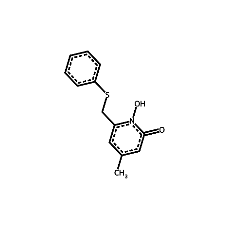 Cc1cc(CSc2ccccc2)n(O)c(=O)c1